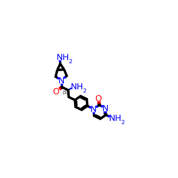 Nc1ccn(-c2ccc(C[C@H](N)C(=O)N3CC4C(N)C4C3)cc2)c(=O)n1